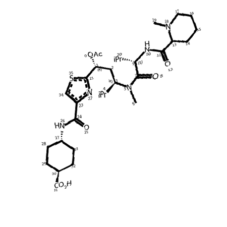 CC(=O)O[C@H](C[C@H](C(C)C)N(C)C(=O)[C@@H](NC(=O)C1CCCCN1C)C(C)C)c1nc(C(=O)N[C@H]2CC[C@H](C(=O)O)CC2)cs1